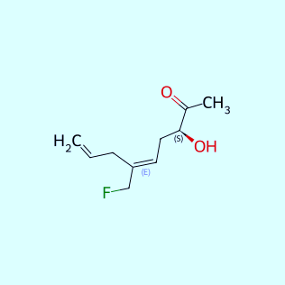 C=CC/C(=C\C[C@H](O)C(C)=O)CF